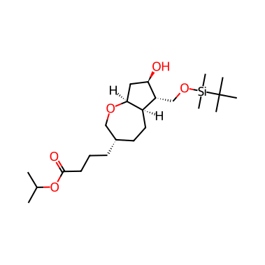 CC(C)OC(=O)CCC[C@H]1CC[C@@H]2[C@@H](CO[Si](C)(C)C(C)(C)C)[C@H](O)C[C@@H]2OC1